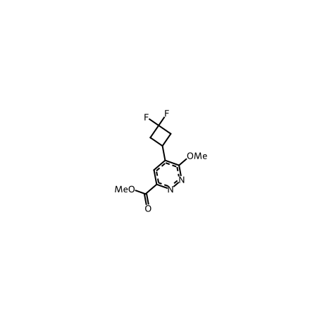 COC(=O)c1cc(C2CC(F)(F)C2)c(OC)nn1